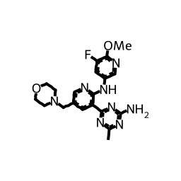 COc1ncc(Nc2ncc(CN3CCOCC3)cc2-c2nc(C)nc(N)n2)cc1F